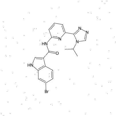 CC(C)n1cnnc1-c1cccc(NC(=O)c2c[nH]c3cc(Br)ccc23)n1